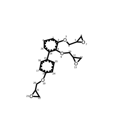 c1cc(OCC2CO2)c(OCC2CO2)c(-c2ccc(OCC3CO3)cc2)c1